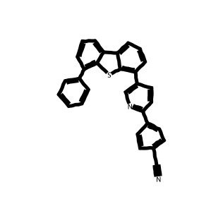 N#Cc1ccc(-c2ccc(-c3cccc4c3sc3c(-c5ccccc5)cccc34)cn2)cc1